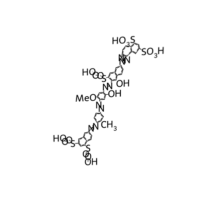 COc1cc(N=Nc2c(SOOO)cc3cc(-n4nc5ccc6c(S(=O)(=O)O)cc(S(=O)(=O)O)cc6c5n4)ccc3c2O)c(O)cc1N=Nc1ccc(N=Nc2ccc3c(SOOO)cc(SOOO)cc3c2)c(C)c1